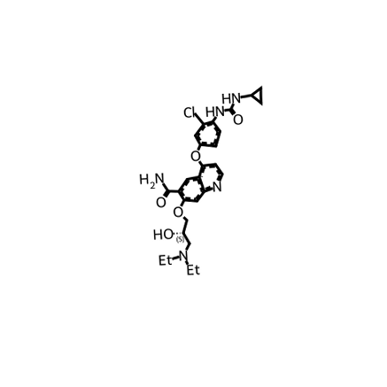 CCN(CC)C[C@H](O)COc1cc2nccc(Oc3ccc(NC(=O)NC4CC4)c(Cl)c3)c2cc1C(N)=O